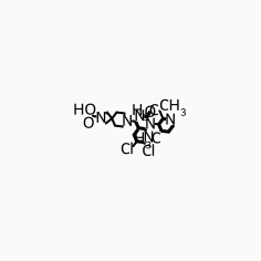 Cc1ccnc(C(C)C)c1-n1c(=O)nc(N2CCC3(CC2)CN(C(=O)O)C3)c2cc(Cl)c(Cl)nc21